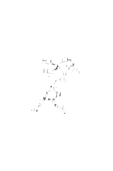 CC(OCn1cc(C#N)c(N)n1)[Si](C)(C)C